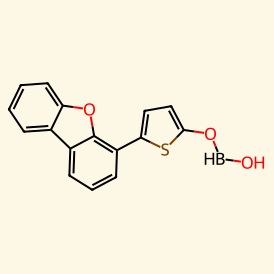 OBOc1ccc(-c2cccc3c2oc2ccccc23)s1